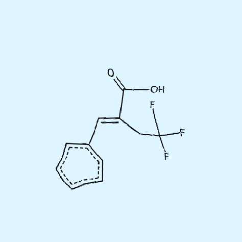 O=C(O)/C(=C/c1ccccc1)CC(F)(F)F